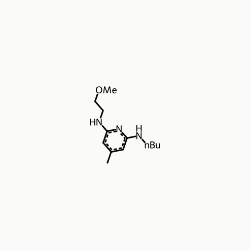 CCCCNc1cc(C)cc(NCCOC)n1